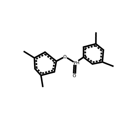 Cc1cc(C)cc(O[PH](=O)c2cc(C)cc(C)c2)c1